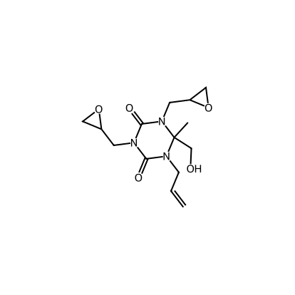 C=CCN1C(=O)N(CC2CO2)C(=O)N(CC2CO2)C1(C)CO